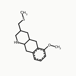 COc1cccc2c1CC1CC(CSC)CNC1C2